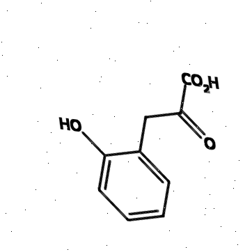 O=C(O)C(=O)Cc1ccccc1O